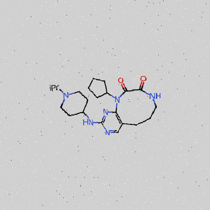 CC(C)N1CCC(Nc2ncc3c(n2)N(C2CCCC2)C(=O)C(=O)NCCC3)CC1